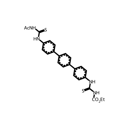 CCOC(=O)NC(=S)Nc1ccc(-c2ccc(-c3ccc(NC(=S)NC(C)=O)cc3)cc2)cc1